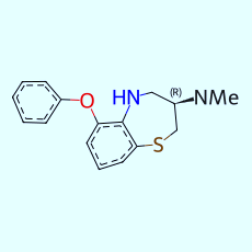 CN[C@@H]1CNc2c(Oc3ccccc3)cccc2SC1